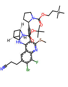 CSc1nc2c(F)c(Br)c(CCC#N)cc2c(N[C@H]2[C@@H]3C[C@H]2N(C(=O)OC(C)(C)C)C3)c1C#C[C@H]1CCCN1C(=O)OCC[Si](C)(C)C